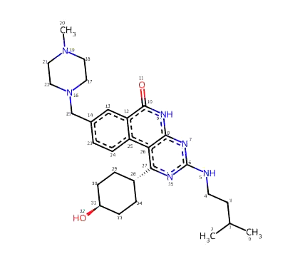 CC(C)CCNc1nc2[nH]c(=O)c3cc(CN4CCN(C)CC4)ccc3c2c([C@H]2CC[C@H](O)CC2)n1